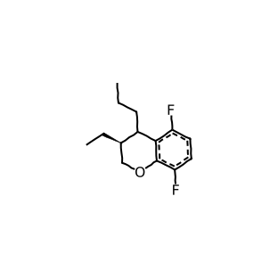 CCCC1c2c(F)ccc(F)c2OC[C@H]1CC